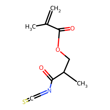 C=C(C)C(=O)OCC(C)C(=O)N=C=S